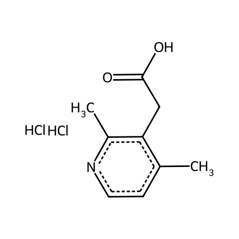 Cc1ccnc(C)c1CC(=O)O.Cl.Cl